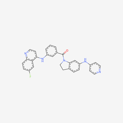 O=C(c1cccc(Nc2ccnc3ccc(F)cc23)c1)N1CCc2ccc(Nc3ccncc3)cc21